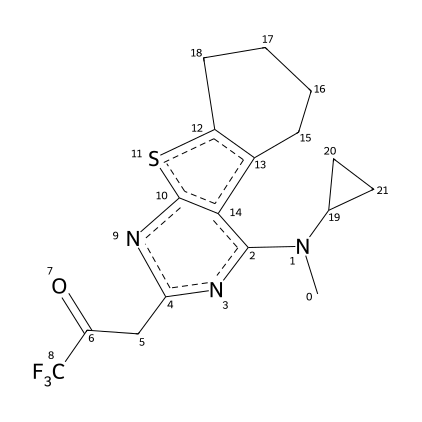 CN(c1nc(CC(=O)C(F)(F)F)nc2sc3c(c12)CCCC3)C1CC1